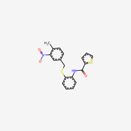 Cc1ccc(CSc2ccccc2NC(=O)c2cccs2)cc1[N+](=O)[O-]